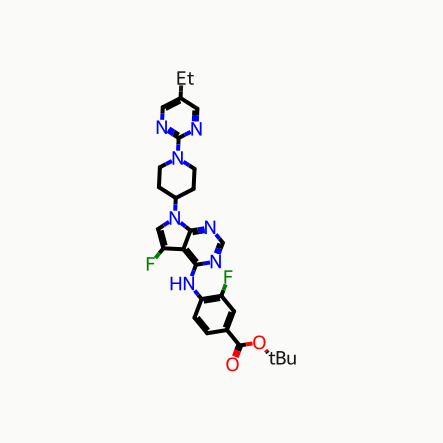 CCc1cnc(N2CCC(n3cc(F)c4c(Nc5ccc(C(=O)OC(C)(C)C)cc5F)ncnc43)CC2)nc1